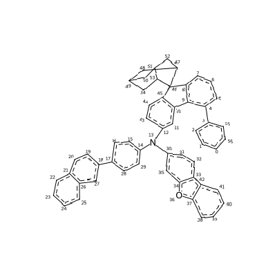 c1ccc(-c2cccc3c2-c2cc(N(c4ccc(-c5ccc6ccccc6c5)cc4)c4ccc5c(c4)oc4ccccc45)ccc2C32C3CC4CC(C3)C2C4)cc1